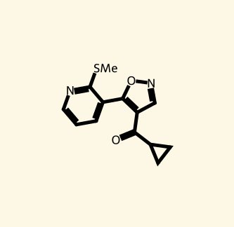 CSc1ncccc1-c1oncc1C(=O)C1CC1